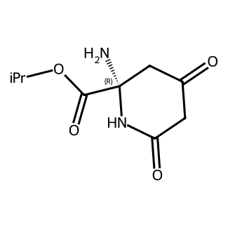 CC(C)OC(=O)[C@@]1(N)CC(=O)CC(=O)N1